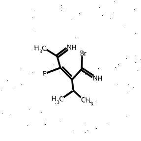 CC(=N)/C(F)=C(\C(=N)Br)C(C)C